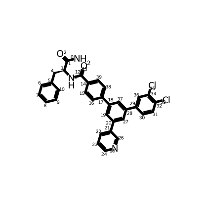 NC(=O)[C@H](Cc1ccccc1)NC(=O)c1ccc(-c2cc(-c3cccnc3)cc(-c3ccc(Cl)c(Cl)c3)c2)cc1